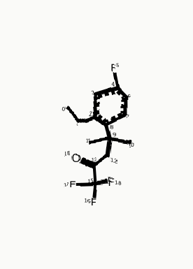 CCc1cc(F)ccc1C(C)(C)CC(=O)C(F)(F)F